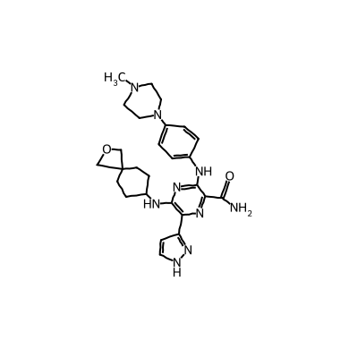 CN1CCN(c2ccc(Nc3nc(NC4CCC5(CC4)COC5)c(-c4cc[nH]n4)nc3C(N)=O)cc2)CC1